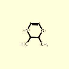 CC1NC=COC1C